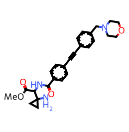 COC(=O)C(NC(=O)c1ccc(C#Cc2ccc(CN3CCOCC3)cc2)cc1)C1(N)CC1